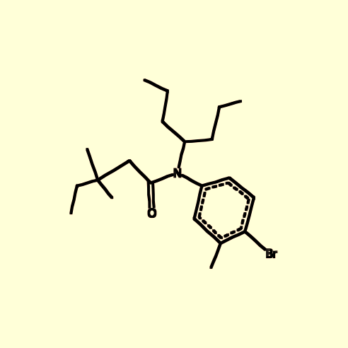 CCCC(CCC)N(C(=O)CC(C)(C)CC)c1ccc(Br)c(C)c1